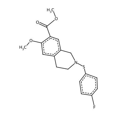 COC(=O)c1cc2c(cc1OC)CCN(Sc1ccc(F)cc1)C2